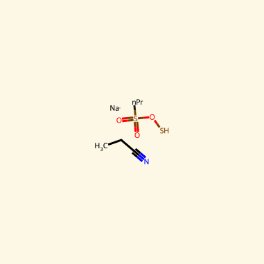 CCC#N.CCCS(=O)(=O)OS.[Na]